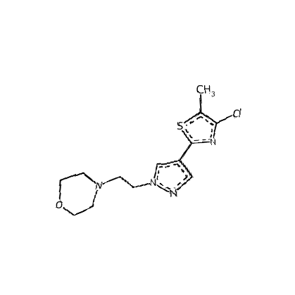 Cc1sc(-c2cnn(CCN3CCOCC3)c2)nc1Cl